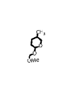 COCOC1CCC(C)CO1